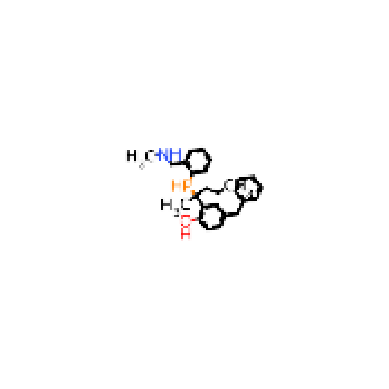 CCCC(C)(Pc1ccccc1CNC)c1cc(Cc2ccccc2)ccc1O